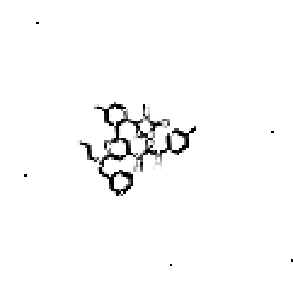 CCCN(Cc1ccccc1)c1cc(NC(=O)Nc2ccc(C)cc2)cc(-c2cc(C)ccc2-c2noc(=O)[nH]2)n1